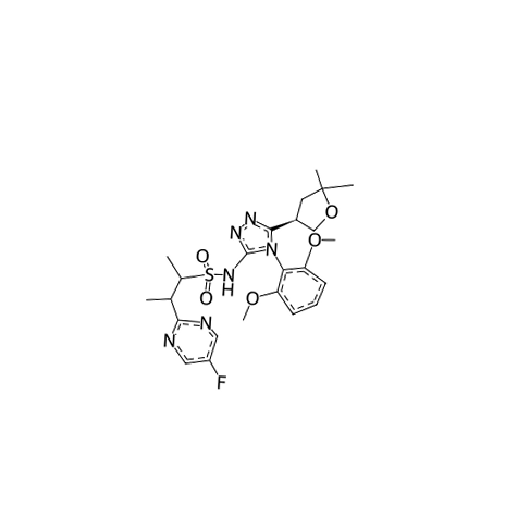 COc1cccc(OC)c1-n1c(NS(=O)(=O)C(C)C(C)c2ncc(F)cn2)nnc1[C@@H]1COC(C)(C)C1